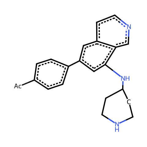 CC(=O)c1ccc(-c2cc(NC3CCNCC3)c3cnccc3c2)cc1